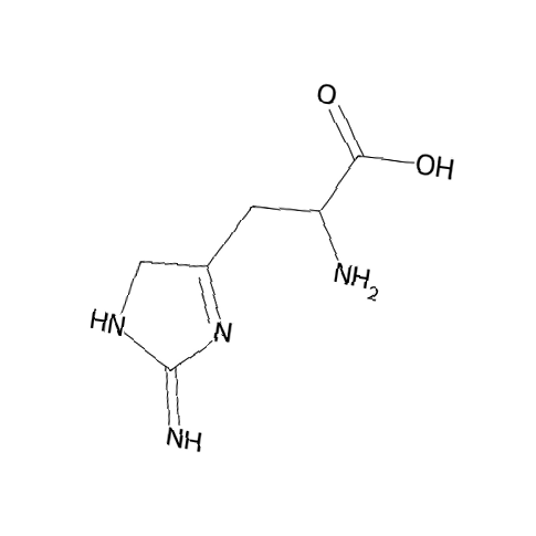 N=C1N=C(CC(N)C(=O)O)CN1